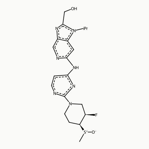 CC(C)n1c(CO)nc2cnc(Nc3ccnc(N4CC[C@H]([S+](C)[O-])[C@H](F)C4)n3)cc21